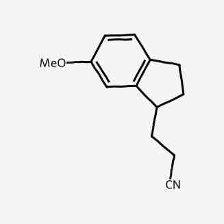 COc1ccc2c(c1)C(CCC#N)CC2